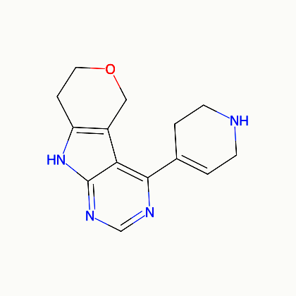 C1=C(c2ncnc3[nH]c4c(c23)COCC4)CCNC1